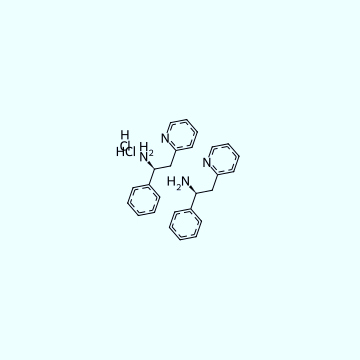 Cl.Cl.N[C@@H](Cc1ccccn1)c1ccccc1.N[C@@H](Cc1ccccn1)c1ccccc1